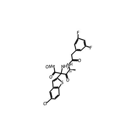 COC(=O)C(N)(C(=O)[C@H](C)NC(=O)Cc1cc(F)cc(F)c1)c1cc2cc(Cl)ccc2s1